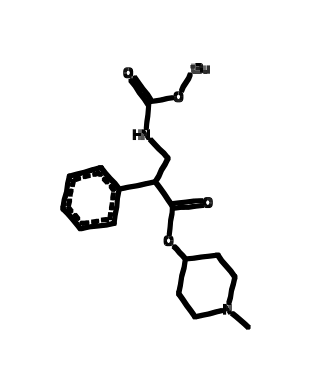 CN1CCC(OC(=O)C(CNC(=O)OC(C)(C)C)c2ccccc2)CC1